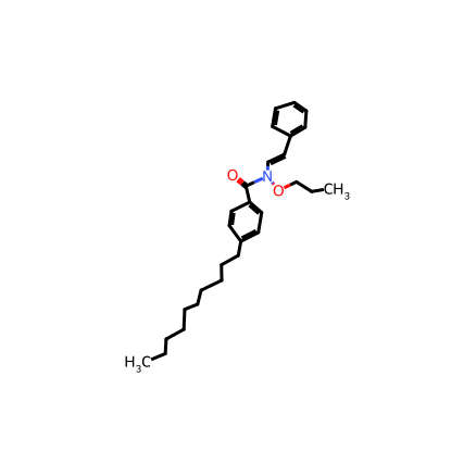 CCCCCCCCCCc1ccc(C(=O)N(C=Cc2ccccc2)OCCC)cc1